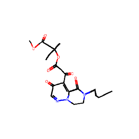 CCCN1CCn2ncc(=O)c(C(=O)C(=O)OC(C)(C)C(=O)OC)c2C1=O